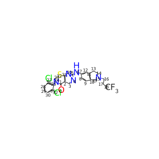 O=C1c2cnc(Nc3ccc4c(c3)CCN(CCC(F)(F)F)C4)nc2SCN1c1c(Cl)cccc1Cl